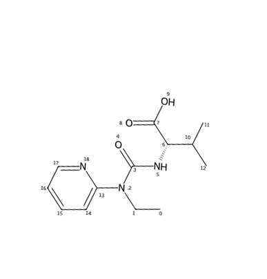 CCN(C(=O)N[C@H](C(=O)O)C(C)C)c1ccccn1